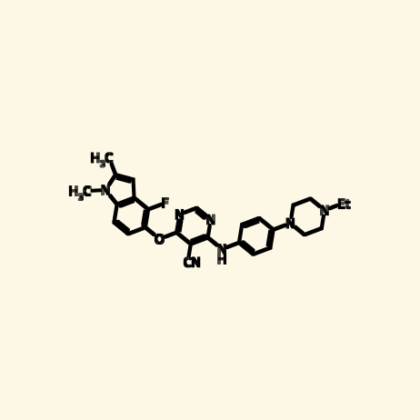 CCN1CCN(c2ccc(Nc3ncnc(Oc4ccc5c(cc(C)n5C)c4F)c3C#N)cc2)CC1